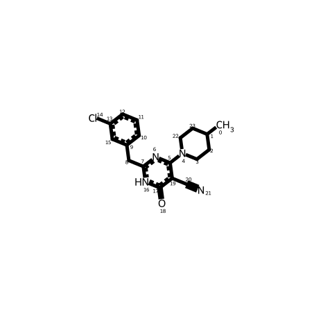 CC1CCN(c2nc(Cc3cccc(Cl)c3)[nH]c(=O)c2C#N)CC1